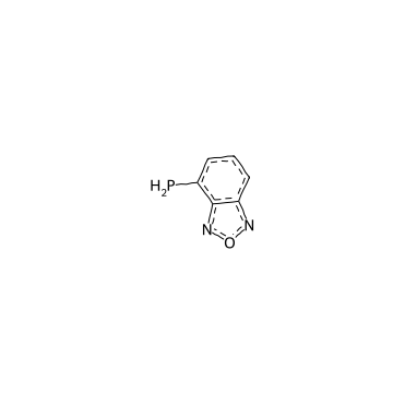 Pc1cccc2nonc12